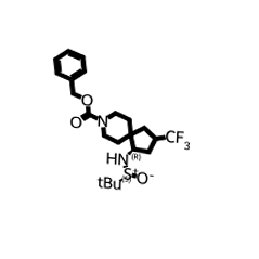 CC(C)(C)[S@@+]([O-])N[C@@H]1CC(C(F)(F)F)CC12CCN(C(=O)OCc1ccccc1)CC2